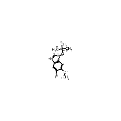 COc1cc2c(cc1Br)ncn2OC(C)(C)C